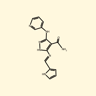 NC(=O)c1c(Nc2cccnc2)n[nH]c1/N=C/c1ccc[nH]1